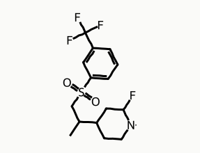 CC(CS(=O)(=O)c1cccc(C(F)(F)F)c1)C1CC[N]C(F)C1